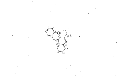 Cc1ccccc1Oc1nc2ccccc2nc1C(C)C